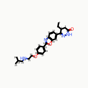 CCC1CC(=O)NN=C1c1ccc2nc(-c3ccc(OCCNCC(C)C)cc3)oc2c1